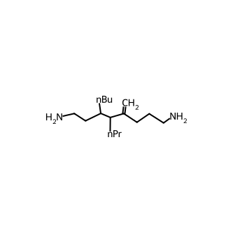 C=C(CCCN)C(CCC)C(CCN)CCCC